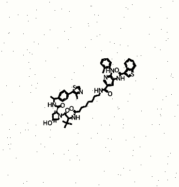 Cc1ccccc1Nc1ncc(C(=O)NCCCCCCCC(=O)NC(C(=O)N2C[C@H](O)C[C@H]2C(=O)NC(C)c2ccc(-c3scnc3C)cc2)C(C)(C)C)cc1NC(=O)c1csc2ccccc12